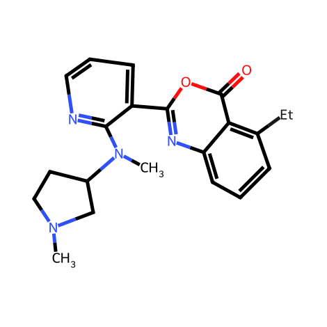 CCc1cccc2nc(-c3cccnc3N(C)C3CCN(C)C3)oc(=O)c12